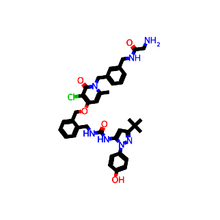 Cc1cc(OCc2ccccc2CNC(=O)Nc2cc(C(C)(C)C)nn2-c2ccc(O)cc2)c(Cl)c(=O)n1Cc1cccc(CNC(=O)CN)c1